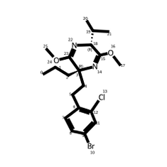 CCC[C@]1(CCc2ccc(Br)cc2Cl)N=C(OC)[C@@H](C(C)C)N=C1OC